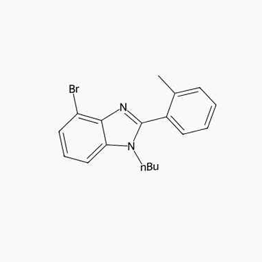 CCCCn1c(-c2ccccc2C)nc2c(Br)cccc21